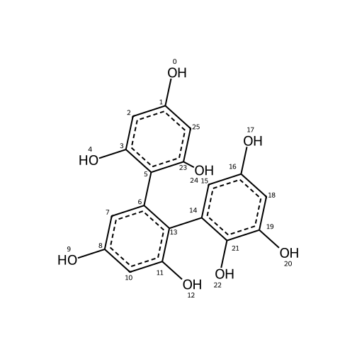 Oc1cc(O)c(-c2cc(O)cc(O)c2-c2cc(O)cc(O)c2O)c(O)c1